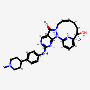 CN1CCC(c2ccc(Nc3ncc4c(=O)n5n(c4n3)-c3cccc(n3)[C@](C)(O)CC/C=C\C5)cc2)CC1